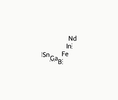 [B].[Fe].[Ga].[In].[Nd].[Sn]